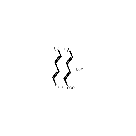 CC=CC=CC(=O)[O-].CC=CC=CC(=O)[O-].[Eu+2]